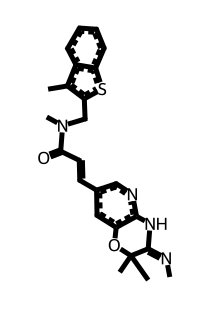 CN=C1Nc2ncc(C=CC(=O)N(C)Cc3sc4ccccc4c3C)cc2OC1(C)C